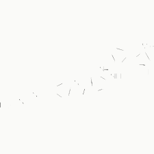 COc1ccc(F)cc1-c1ccc(O)c(-c2nc3cc(C(=O)Nc4ccc(CCN5CCN(C)CC5)cc4)ccc3[nH]2)c1